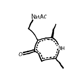 CC(=O)NCc1c(C)[nH]c(C)cc1=O